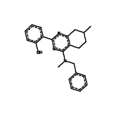 CC1CCc2c(nc(-c3ccccc3O)nc2N(C)Cc2ccccc2)C1